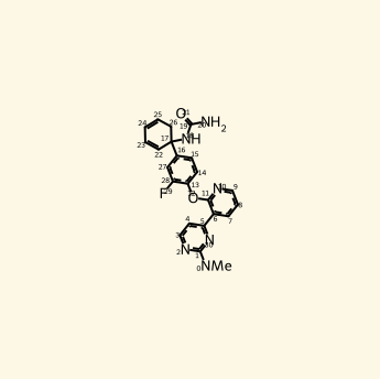 CNc1nccc(-c2cccnc2Oc2ccc(C3(NC(N)=O)C=CC=CC3)cc2F)n1